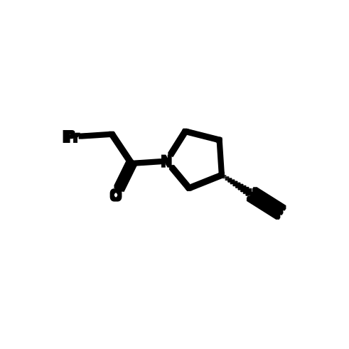 C#C[C@H]1CCN(C(=O)CC(C)C)C1